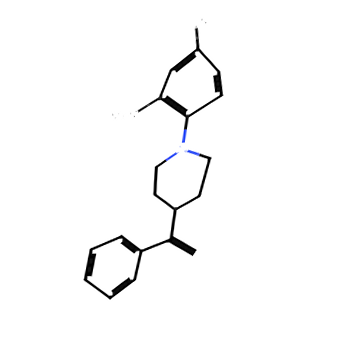 C=C(c1ccccc1)C1CCN(c2ccc(C#N)cc2NC)CC1